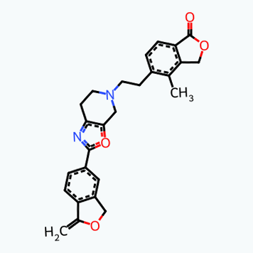 C=C1OCc2cc(-c3nc4c(o3)CN(CCc3ccc5c(c3C)COC5=O)CC4)ccc21